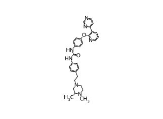 CC1CN(CCc2ccc(NC(=O)Nc3ccc(Oc4ncccc4-c4ccncn4)cc3)cc2)CCN1C